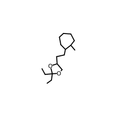 CCC1(CC)OCC(CCC2CCCCCC2C)O1